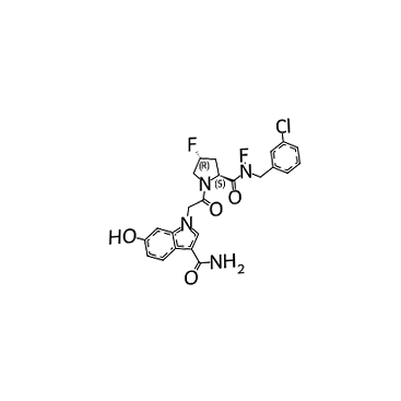 NC(=O)c1cn(CC(=O)N2C[C@H](F)C[C@H]2C(=O)N(F)Cc2cccc(Cl)c2)c2cc(O)ccc12